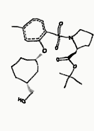 Cc1ccc(S(=O)(=O)N2CCC[C@H]2C(=O)OC(C)(C)C)c(O[C@H]2CCC[C@@H](CO)C2)c1